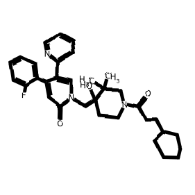 CC1(C)CN(C(=O)CCC2CCCCC2)CCC1(O)Cn1cc(-c2ccccn2)c(-c2ccccc2F)cc1=O